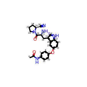 CC(=O)Nc1ccc(Oc2ccc3[nH]cc(C[C@H](N)C(=O)N4CCC[C@H]4C#N)c3c2)cc1